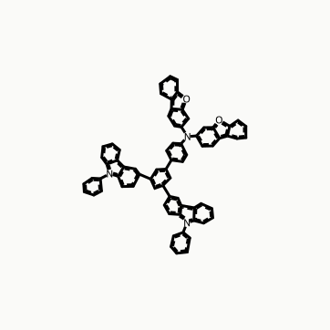 c1ccc(-n2c3ccccc3c3cc(-c4cc(-c5ccc(N(c6ccc7c(c6)oc6ccccc67)c6ccc7c(c6)oc6ccccc67)cc5)cc(-c5ccc6c(c5)c5ccccc5n6-c5ccccc5)c4)ccc32)cc1